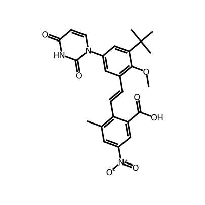 COc1c(C=Cc2c(C)cc([N+](=O)[O-])cc2C(=O)O)cc(-n2ccc(=O)[nH]c2=O)cc1C(C)(C)C